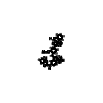 [2H]C1(OC(=O)Nc2ccc3c(c2)c(Cc2ccc(C(=O)NS(=O)(=O)c4ccccc4C)cc2OC)cn3C([2H])([2H])[2H])CCCC1